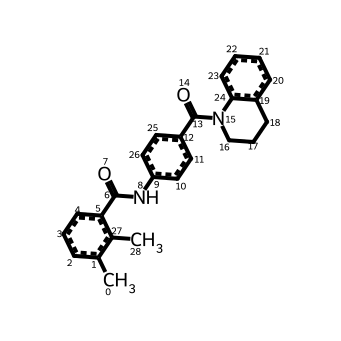 Cc1cccc(C(=O)Nc2ccc(C(=O)N3CCCc4ccccc43)cc2)c1C